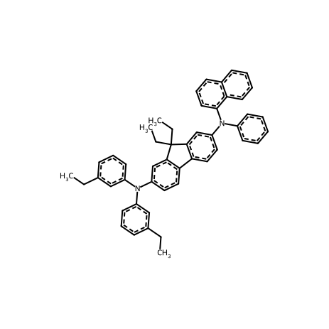 CCc1cccc(N(c2cccc(CC)c2)c2ccc3c(c2)C(CC)(CC)c2cc(N(c4ccccc4)c4cccc5ccccc45)ccc2-3)c1